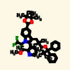 COC(C)c1ncccc1-c1c(CC(C)(C)CO[Si](c2ccccc2)(c2ccccc2)C(C)(C)C)c2cc(B3OC(C)(C)C(C)(C)O3)ccc2n1C(F)C(F)F